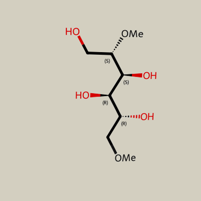 COC[C@@H](O)[C@@H](O)[C@H](O)[C@H](CO)OC